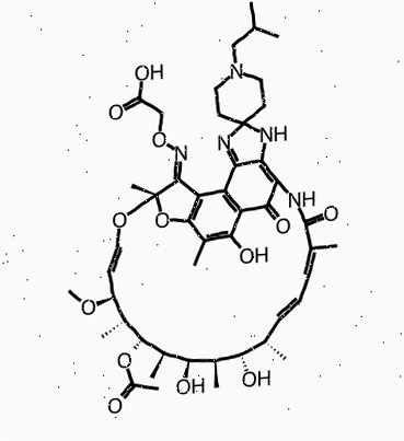 CO[C@H]1/C=C/O[C@@]2(C)Oc3c(C)c(O)c4c(c3/C2=N/OCC(=O)O)C2=NC3(CCN(CC(C)C)CC3)NC2=C(NC(=O)/C(C)=C\C=C\[C@H](C)[C@H](O)[C@@H](C)[C@@H](O)[C@@H](C)[C@H](OC(C)=O)[C@@H]1C)C4=O